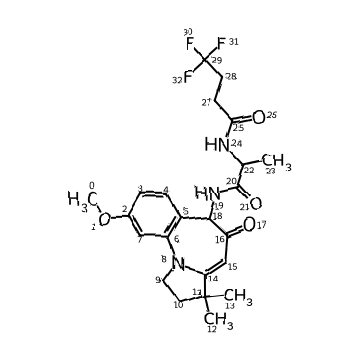 COc1ccc2c(c1)N1CCC(C)(C)C1=CC(=O)C2NC(=O)C(C)NC(=O)CCC(F)(F)F